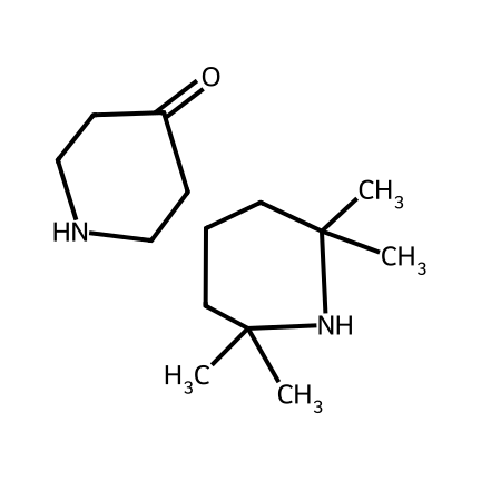 CC1(C)CCCC(C)(C)N1.O=C1CCNCC1